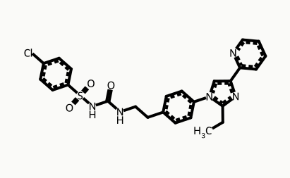 CCc1nc(-c2ccccn2)cn1-c1ccc(CCNC(=O)NS(=O)(=O)c2ccc(Cl)cc2)cc1